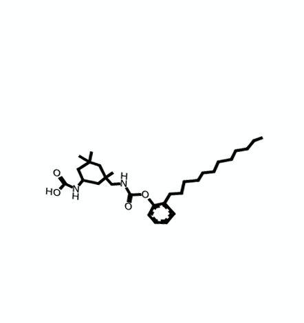 CCCCCCCCCCCCc1ccccc1OC(=O)NCC1(C)CC(NC(=O)O)CC(C)(C)C1